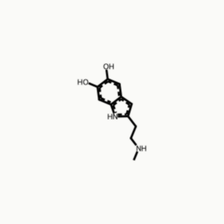 CNCCc1cc2cc(O)c(O)cc2[nH]1